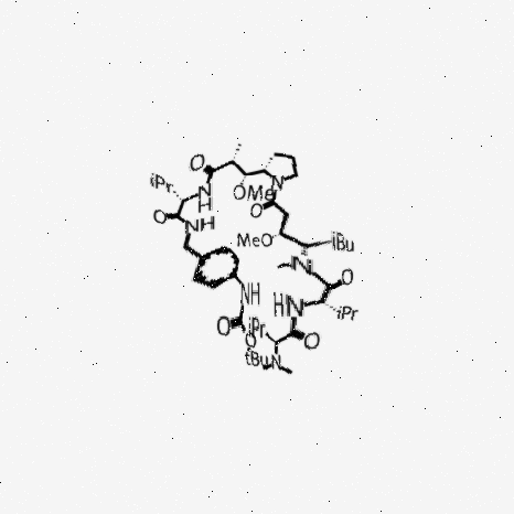 CC[C@H](C)[C@@H]([C@@H](CC(=O)N1CCC[C@H]1[C@H](OC)[C@@H](C)C(=O)N[C@H](C(=O)NCc1ccc(NC(=O)OC(C)(C)C)cc1)C(C)C)OC)N(C)C(=O)[C@@H](NC(=O)[C@H](C(C)C)N(C)C)C(C)C